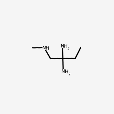 CCC(N)(N)CNC